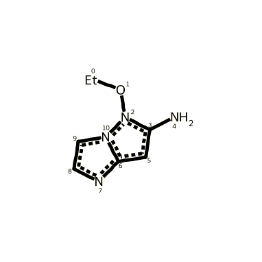 CCOn1c(N)cc2nccn21